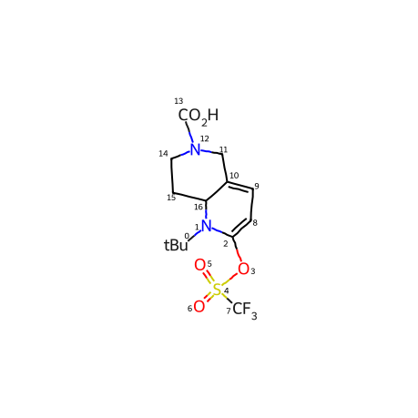 CC(C)(C)N1C(OS(=O)(=O)C(F)(F)F)=CC=C2CN(C(=O)O)CCC21